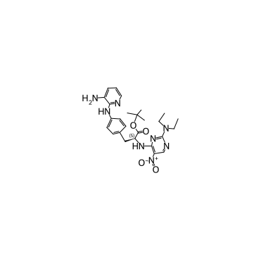 CCN(CC)c1ncc([N+](=O)[O-])c(N[C@@H](Cc2ccc(Nc3ncccc3N)cc2)C(=O)OC(C)(C)C)n1